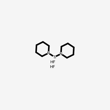 C1CC[N]([Ti][N]2CCCCC2)CC1.F.F